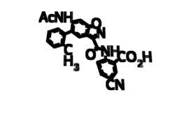 CC(=O)Nc1cc2onc(C(=O)Nc3ccc(C#N)cc3C(=O)O)c2cc1-c1ccccc1C